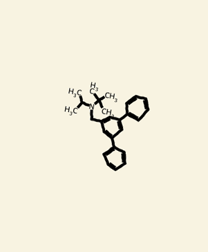 CC(C)N(Cc1cc(-c2ccccc2)cc(-c2ccccc2)c1)C(C)(C)C